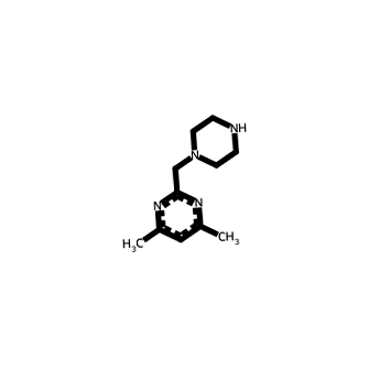 Cc1cc(C)nc(CN2CCNCC2)n1